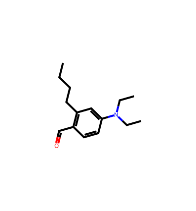 CCCCc1cc(N(CC)CC)ccc1C=O